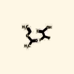 C=COC(C)=O.O=C(O)C(F)F